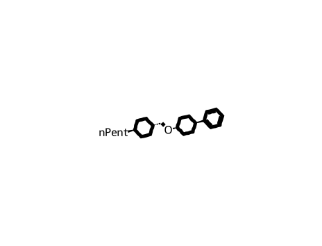 CCCCC[C@H]1CC[C@H](CO[C@H]2CC[C@H](c3ccccc3)CC2)CC1